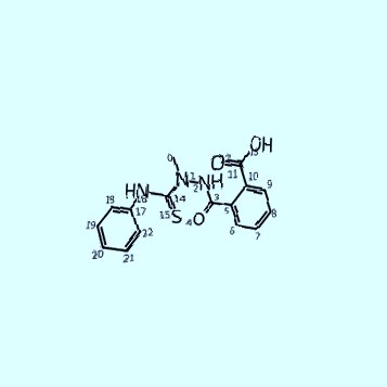 CN(NC(=O)c1ccccc1C(=O)O)C(=S)Nc1ccccc1